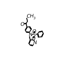 CCCC(=O)c1ccc(N(Cc2cccnc2)S(=O)(=O)c2ccccc2)cc1